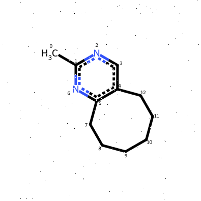 Cc1ncc2c(n1)CCCCCC2